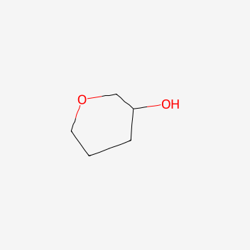 OC1CCCOC1